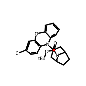 CC(C)(C)OC(=O)N1C2CCC1CC(N1c3ccccc3Oc3cc(Cl)ccc31)C2